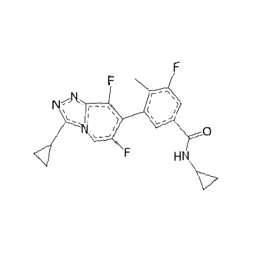 Cc1c(F)cc(C(=O)NC2CC2)cc1-c1c(F)cn2c(C3CC3)nnc2c1F